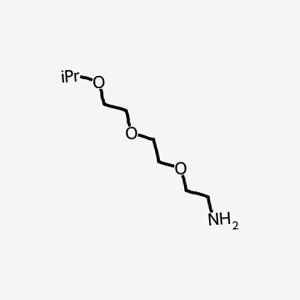 CC(C)OCCOCCOCCN